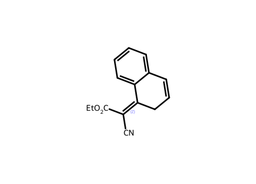 CCOC(=O)/C(C#N)=C1/CC=Cc2ccccc21